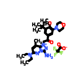 CCN(CC)c1cc(C)c2n(n1)c(N)n[n+]2CC(=O)c1cc(N2CCOCC2)c(OC)c(C(C)(C)C)c1.O=C([O-])C(F)(F)F